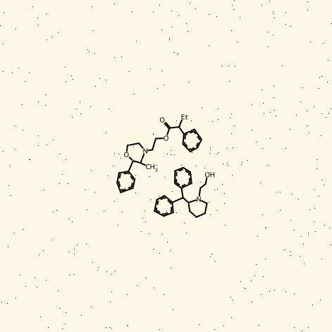 CCC(C(=O)OCCN1CCOC(c2ccccc2)C1C)c1ccccc1.OCCN1CCCCC1C(c1ccccc1)c1ccccc1